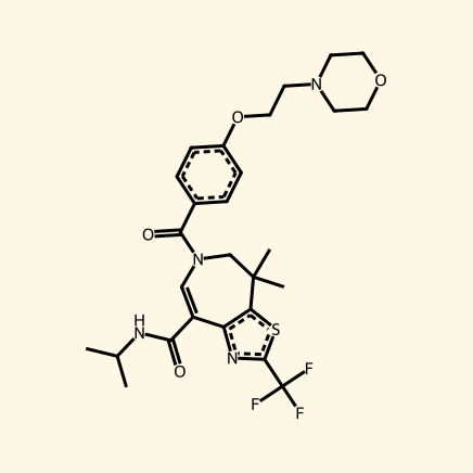 CC(C)NC(=O)C1=CN(C(=O)c2ccc(OCCN3CCOCC3)cc2)CC(C)(C)c2sc(C(F)(F)F)nc21